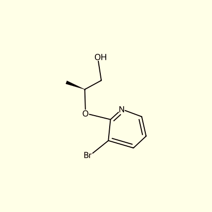 C[C@@H](CO)Oc1ncccc1Br